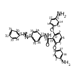 Nc1ccc(Oc2cccc(Oc3ccc(N)cc3)c2C(=O)Nc2ccc(N=Nc3ccccc3)cc2)cc1